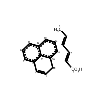 C/C=C/C=C/C(=O)O.C1=Cc2cccc3cccc(c23)C1